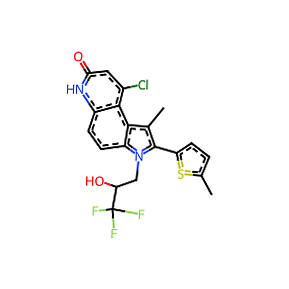 Cc1ccc(-c2c(C)c3c4c(Cl)cc(=O)[nH]c4ccc3n2CC(O)C(F)(F)F)s1